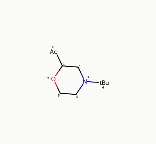 CC(=O)C1CN(C(C)(C)C)CCO1